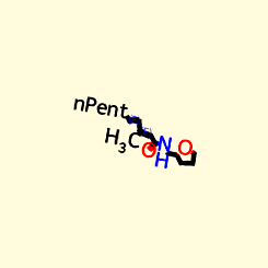 CCCCC/C=C/C(C)=C/C(=O)NCC1CCCO1